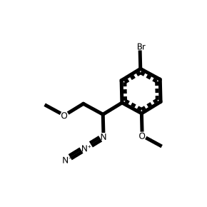 COCC(N=[N+]=[N-])c1cc(Br)ccc1OC